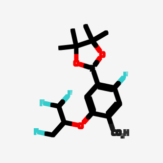 CC1(C)OB(c2cc(OC(CF)C(F)F)c(C(=O)O)cc2F)OC1(C)C